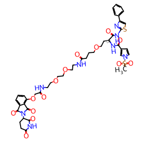 CS(=O)(=O)n1ccc(C(=O)N[C@@H](CCOCCCC(=O)NCCOCCOCCNC(=O)COc2cccc3c2C(=O)N(C2CCC(=O)NC2=O)C3=O)C(=O)Nc2nc(-c3ccccc3)cs2)c1